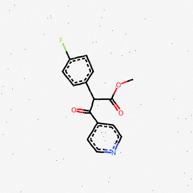 COC(=O)C(C(=O)c1ccncc1)c1ccc(F)cc1